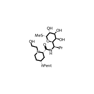 CCCCC[C@@H]1CCN(CCO)[C@H](C(=O)N[C@H](C(C)C)[C@H]2O[C@H](SC)[C@H](O)[C@@H](O)[C@H]2O)C1